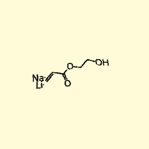 C=CC(=O)OCCO.[Li].[Na]